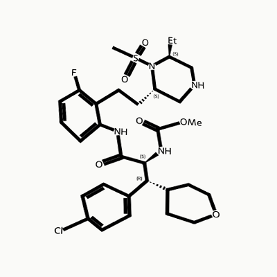 CC[C@H]1CNC[C@H](CCc2c(F)cccc2NC(=O)[C@@H](NC(=O)OC)[C@@H](c2ccc(Cl)cc2)C2CCOCC2)N1S(C)(=O)=O